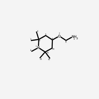 CN1C(C)(C)CC(OCN)CC1(C)C